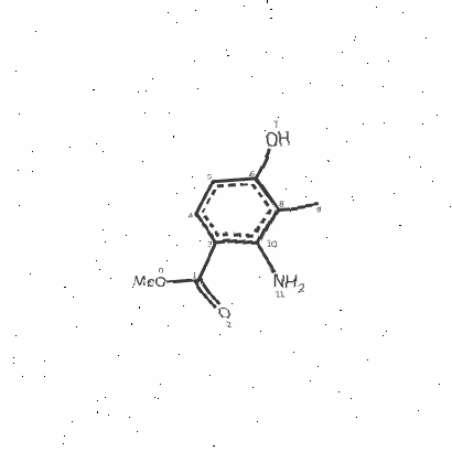 COC(=O)c1ccc(O)c(C)c1N